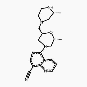 C[C@@H]1CN(C[C@@H]2CN(c3ccc(C#N)c4ncccc34)C[C@@H](C)O2)CCN1